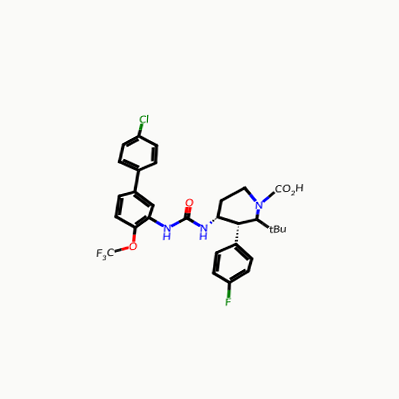 CC(C)(C)C1[C@H](c2ccc(F)cc2)[C@H](NC(=O)Nc2cc(-c3ccc(Cl)cc3)ccc2OC(F)(F)F)CCN1C(=O)O